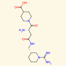 N=C(N)N1CCC[C@H](CNC(=O)C[C@H](N)C(=O)N2CCC(C(=O)O)CC2)C1